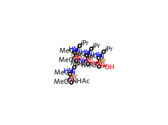 COCCC(Oc1ccccc1C(N)=O)c1cc(OC)c2[nH]c(-c3ccc(C(C)C)cc3)nc2c1Br.COCCC(Oc1ccccc1CO)c1cc(OC)c2[nH]c(-c3ccc(C(C)C)cc3)nc2c1Br.COCCC(Oc1ccccc1NC(C)=O)c1cc(OC)c2[nH]c(-c3ccc(C(C)C)cc3)nc2c1Br.COCCC(Oc1ccccc1OCCO)c1cc(OC)c2[nH]c(-c3ccc(C(C)C)cc3)nc2c1Br